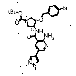 Cn1cc(-c2cnc(N)c(C(=O)N[C@H]3CN(C(=O)OC(C)(C)C)C[C@@H]3OCc3ccc(Br)cc3)c2)cn1